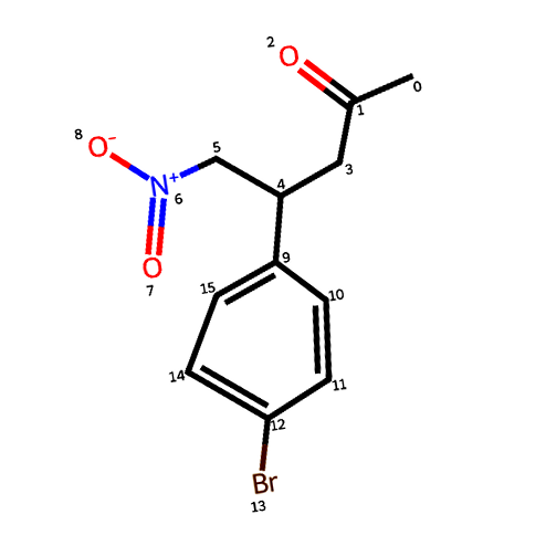 CC(=O)CC(C[N+](=O)[O-])c1ccc(Br)cc1